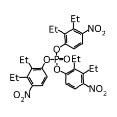 CCc1c(OP(=O)(Oc2ccc([N+](=O)[O-])c(CC)c2CC)Oc2ccc([N+](=O)[O-])c(CC)c2CC)ccc([N+](=O)[O-])c1CC